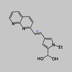 CCn1cc(/C=C/c2ccc3cccnc3n2)cc1C(O)O